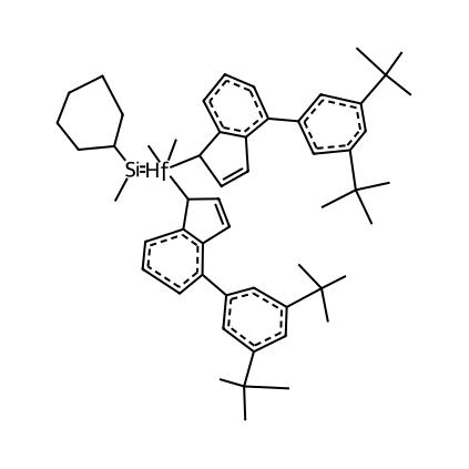 C[Si](C1CCCCC1)=[Hf]([CH3])([CH3])([CH]1C=Cc2c(-c3cc(C(C)(C)C)cc(C(C)(C)C)c3)cccc21)[CH]1C=Cc2c(-c3cc(C(C)(C)C)cc(C(C)(C)C)c3)cccc21